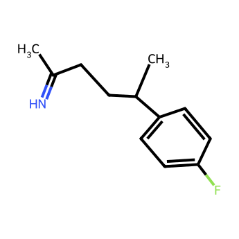 CC(=N)CCC(C)c1ccc(F)cc1